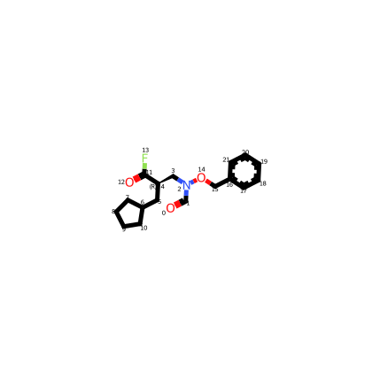 O=CN(C[C@@H](CC1CCCC1)C(=O)F)OCc1ccccc1